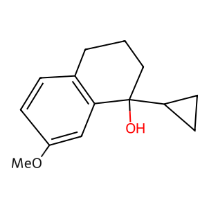 COc1ccc2c(c1)C(O)(C1CC1)CCC2